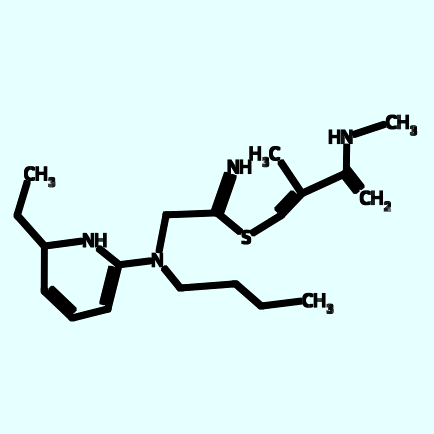 C=C(NC)/C(C)=C/SC(=N)CN(CCCC)C1=CC=CC(CC)N1